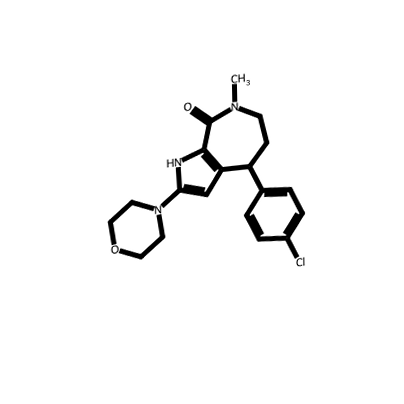 CN1CCC(c2ccc(Cl)cc2)c2cc(N3CCOCC3)[nH]c2C1=O